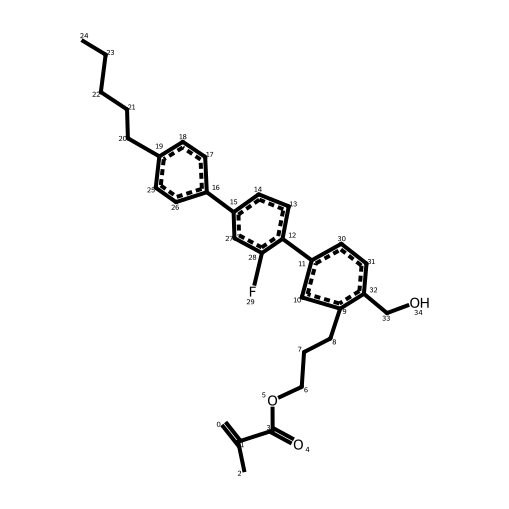 C=C(C)C(=O)OCCCc1cc(-c2ccc(-c3ccc(CCCCC)cc3)cc2F)ccc1CO